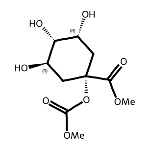 COC(=O)O[C@]1(C(=O)OC)C[C@@H](O)[C@H](O)[C@H](O)C1